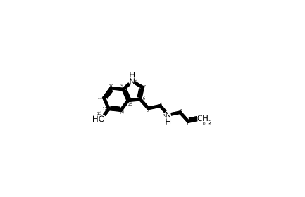 C=CCNCCc1c[nH]c2ccc(O)cc12